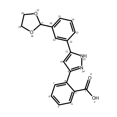 O=C(O)c1ccccc1-c1cc(-c2cccc(C3OCCO3)c2)[nH]n1